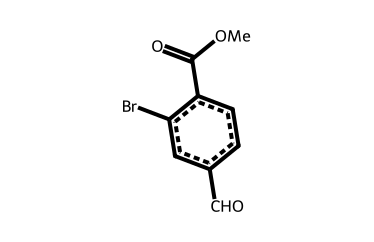 COC(=O)c1ccc(C=O)cc1Br